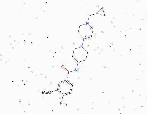 COc1cc(C(=O)NC2CCN(C3CCN(CC4CC4)CC3)CC2)ccc1N